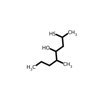 CCCC(C)C(O)CC(C)S